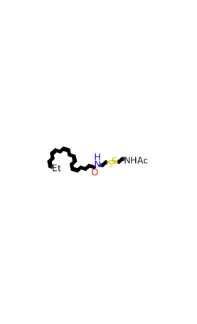 CC/C=C\C/C=C\C/C=C\C/C=C\C/C=C\CCCC(=O)NCCSSCCNC(C)=O